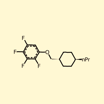 CCC[C@H]1CC[C@H](COc2cc(F)c(F)c(F)c2F)CC1